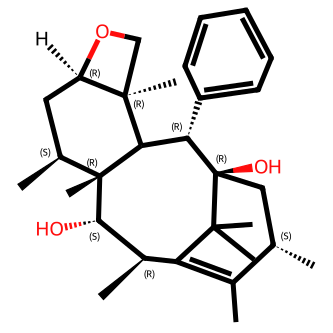 CC1=C2[C@@H](C)[C@H](O)[C@@]3(C)C([C@H](c4ccccc4)[C@](O)(C[C@@H]1C)C2(C)C)[C@]1(C)CO[C@@H]1C[C@@H]3C